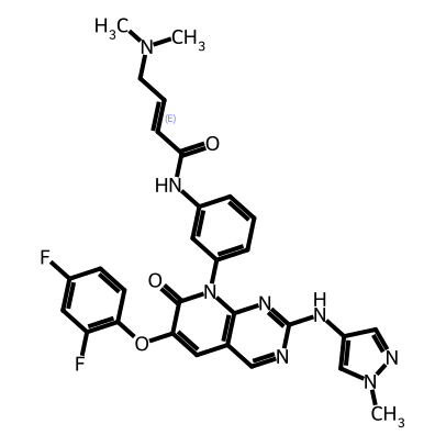 CN(C)C/C=C/C(=O)Nc1cccc(-n2c(=O)c(Oc3ccc(F)cc3F)cc3cnc(Nc4cnn(C)c4)nc32)c1